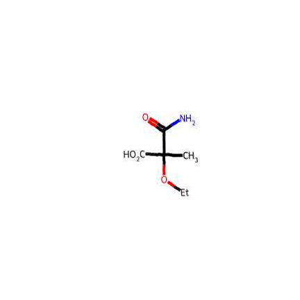 CCOC(C)(C(N)=O)C(=O)O